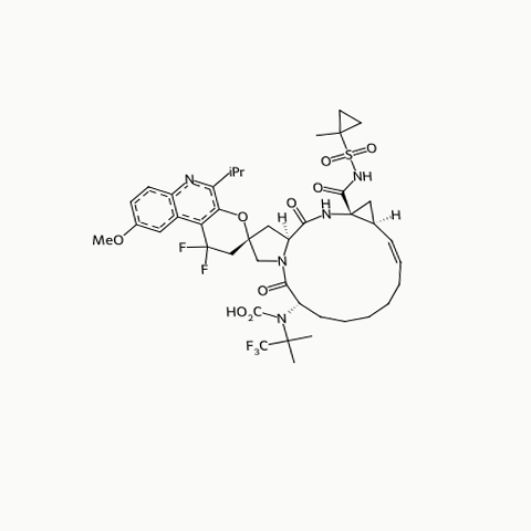 COc1ccc2nc(C(C)C)c3c(c2c1)C(F)(F)C[C@]1(C[C@H]2C(=O)N[C@]4(C(=O)NS(=O)(=O)C5(C)CC5)C[C@H]4/C=C\CCCCC[C@H](N(C(=O)O)C(C)(C)C(F)(F)F)C(=O)N2C1)O3